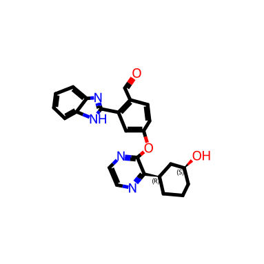 O=Cc1ccc(Oc2nccnc2[C@@H]2CCC[C@H](O)C2)cc1-c1nc2ccccc2[nH]1